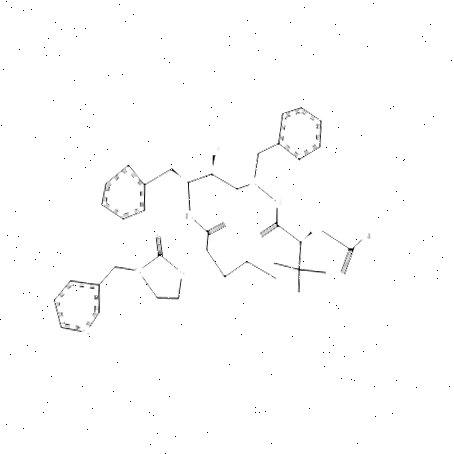 CC[C@H](C)[C@@H](C(=O)N[C@@H](Cc1ccccc1)[C@@H](O)CN(Cc1ccccc1)NC(=O)[C@@H](OC(N)=O)C(C)(C)C)N1CCN(Cc2cccnc2)C1=O